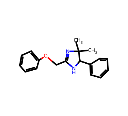 CC1(C)N=C(COc2ccccc2)NC1c1ccccc1